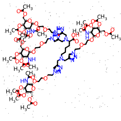 CC(=O)N[C@H]1[C@H](OCCOCCn2cc(CN(CCCCC(C(=O)O)N(Cc3cn(CCOCCO[C@@H]4O[C@H](COC(C)=O)[C@H](OC(C)=O)[C@H](OC(C)=O)[C@H]4NC(C)=O)nn3)Cc3cn(CCOCCO[C@@H]4O[C@H](COC(C)=O)[C@H](OC(C)=O)[C@H](OC(C)=O)[C@H]4NC(C)=O)nn3)Cc3cn(CCOCCO[C@@H]4O[C@H](COC(C)=O)[C@H](OC(C)=O)[C@H](OC(C)=O)[C@H]4NC(C)=O)nn3)nn2)O[C@H](COC(C)=O)[C@H](OC(C)=O)[C@@H]1OC(C)=O